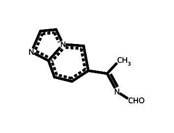 C/C(=N\C=O)c1ccc2nccn2c1